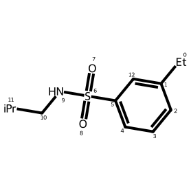 CCc1cccc(S(=O)(=O)NCC(C)C)c1